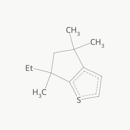 CCC1(C)CC(C)(C)c2ccsc21